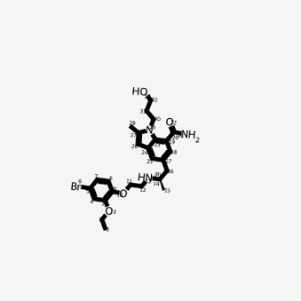 CCOc1cc(Br)ccc1OCCN[C@H](C)Cc1cc(C(N)=O)c2c(c1)cc(C)n2CCCO